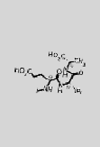 CC(C)[C@H](NC(=O)[C@H](CCC(=O)O)NI)C(=O)N[C@@H](C)C(=O)O